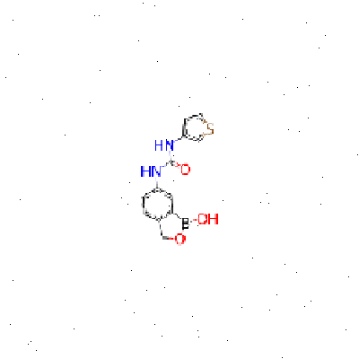 O=C(Nc1ccsc1)Nc1ccc2c(c1)B(O)OC2